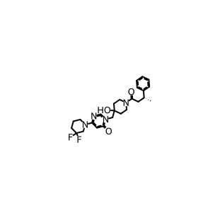 C[C@H](CC(=O)N1CCC(O)(Cn2cnc(N3CCCC(F)(F)C3)cc2=O)CC1)c1ccccc1